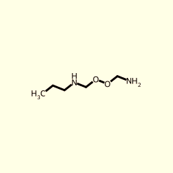 CCCNCOOCN